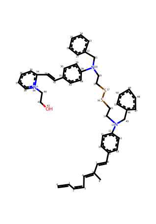 C=C\C=C/C=C(C)/C=C/c1ccc(N(CCSSCCN(Cc2ccccc2)c2ccc(/C=C/c3cccc[n+]3CCO)cc2)Cc2ccccc2)cc1